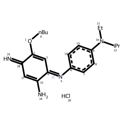 CCCCOC1=C/C(=N\c2ccc(N(CC)C(C)C)cc2)C(N)=CC1=N.Cl